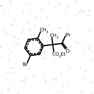 CCOC(=O)C(C)(C(=O)C(C)C)c1cc(Br)ccc1C